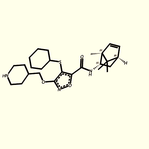 CC1(C)[C@H]2C=C[C@]1(C)[C@@H](NC(=O)c1onc(OCC3CCNCC3)c1SC1CCCCC1)C2